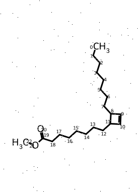 CCCCCCCCC1C=CC1CCCCCCCC(=O)OC